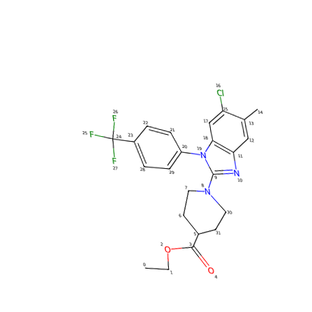 CCOC(=O)C1CCN(c2nc3cc(C)c(Cl)cc3n2-c2ccc(C(F)(F)F)cc2)CC1